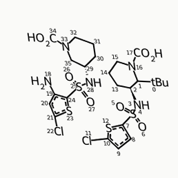 CC(C)(C)C1[C@@H](NS(=O)(=O)c2ccc(Cl)s2)CCCN1C(=O)O.Nc1cc(Cl)sc1S(=O)(=O)N[C@H]1CCCN(C(=O)O)C1